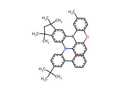 Cc1ccc2c(c1)B1c3cc4c(cc3N(c3ccc(C(C)(C)C)cc3-c3ccccc3)c3cccc(c31)O2)C(C)(C)CC4(C)C